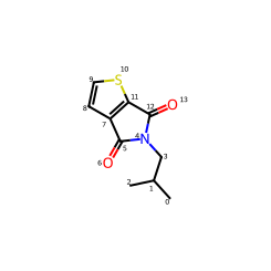 CC(C)CN1C(=O)c2ccsc2C1=O